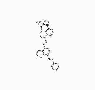 CC1(C)N=C2CC=C(/N=N/c3ccc(/N=N/c4ccccc4)c4ccccc34)c3cccc(c32)N1